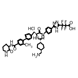 Cc1cc(C(=O)NC2CCCNC2=O)ccc1-c1ccc(C[C@H](NC(=O)[C@H]2CC[C@H](CN)CC2)C(=O)Nc2ccc(-c3nnc(C(F)(F)C(F)(F)C(=O)O)[nH]3)cc2)cc1.Cl